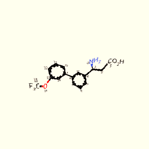 N[C@@H](CC(=O)O)c1cccc(-c2cccc(OC(F)(F)F)c2)c1